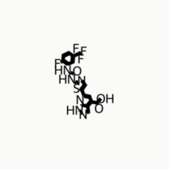 O=C(Nc1ncc(-c2cc(C(=O)O)c3cn[nH]c3n2)s1)Nc1cc(C(F)(F)F)ccc1F